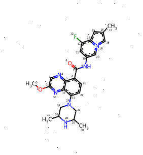 COc1cnc2c(C(=O)Nc3cc(F)c4cc(C)cn4c3)ccc(N3CC(C)NC(C)C3)c2n1